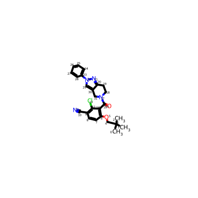 CC(C)(C)COc1ccc(C#N)c(Cl)c1C(=O)N1CCc2nn(-c3ccccc3)cc2C1